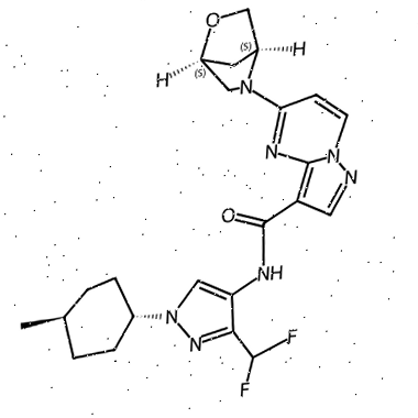 C[C@H]1CC[C@H](n2cc(NC(=O)c3cnn4ccc(N5C[C@@H]6C[C@H]5CO6)nc34)c(C(F)F)n2)CC1